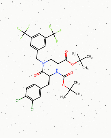 CC(C)(C)OC(=O)CCN(Cc1cc(C(F)(F)F)cc(C(F)(F)F)c1)C(=O)[C@H](Cc1ccc(Cl)c(Cl)c1)NC(=O)OC(C)(C)C